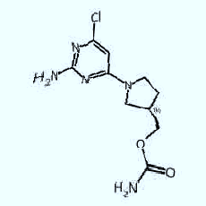 NC(=O)OC[C@@H]1CCN(c2cc(Cl)nc(N)n2)C1